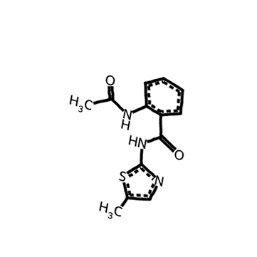 CC(=O)Nc1ccccc1C(=O)Nc1ncc(C)s1